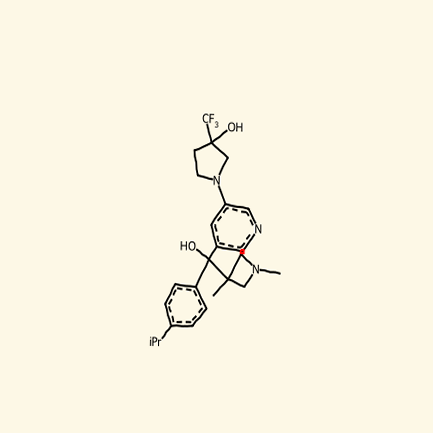 CC(C)c1ccc(C(O)(c2cncc(N3CCC(O)(C(F)(F)F)C3)c2)C2(C)CN(C)C2)cc1